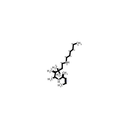 C=C(/C=C\C)NC(C)C(=C)C(C)(C)CCNCCCCCC